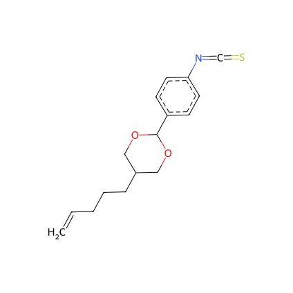 C=CCCCC1COC(c2ccc(N=C=S)cc2)OC1